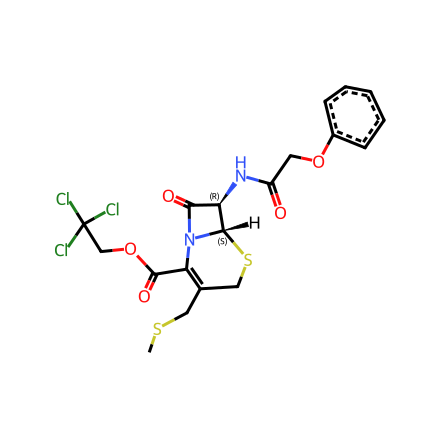 CSCC1=C(C(=O)OCC(Cl)(Cl)Cl)N2C(=O)[C@@H](NC(=O)COc3ccccc3)[C@@H]2SC1